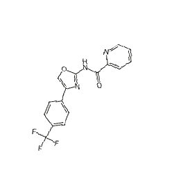 O=C(Nc1nc(-c2ccc(C(F)(F)F)cc2)co1)c1ccccn1